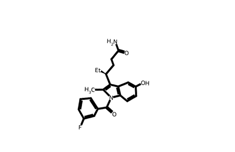 CC[C@@H](CCC(N)=O)c1c(C)n(C(=O)c2cccc(F)c2)c2ccc(O)cc12